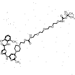 Cc1nc(Nc2ncc(C(=O)Nc3c(C)cccc3Cl)s2)cc(N2CCN(CCOC(=O)NCCOCCOCCOCCONC(=O)OC(C)(C)C)CC2)n1